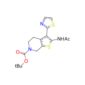 CC(=O)Nc1sc2c(c1-c1nccs1)CCN(C(=O)OC(C)(C)C)C2